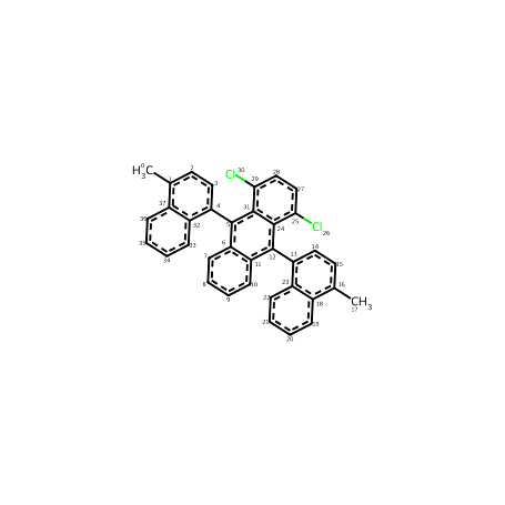 Cc1ccc(-c2c3ccccc3c(-c3ccc(C)c4ccccc34)c3c(Cl)ccc(Cl)c23)c2ccccc12